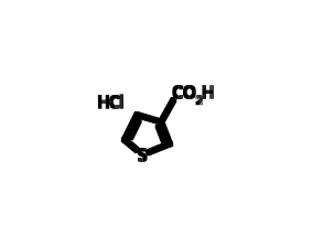 Cl.O=C(O)c1ccsc1